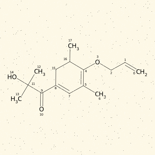 C=CCOC1=C(C)C=C(C(=O)C(C)(C)O)CC1C